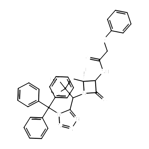 CC1(C)S[C@H]2C(NC(=O)COc3ccccc3)C(=O)N2C1c1nnnn1C(c1ccccc1)(c1ccccc1)c1ccccc1